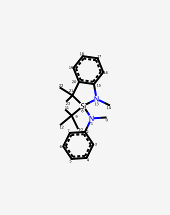 CN(c1ccccc1)[Si]1(C(C)(C)C)N(C)c2ccccc2C1(C)C